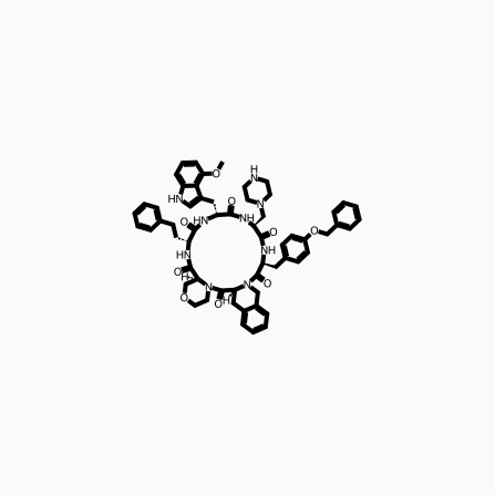 COc1cccc2[nH]cc(C[C@H]3NC(=O)[C@@H](CCc4ccccc4)NC(=O)[C@@H]4COCCN4C(=O)[C@@H]4Cc5ccccc5CN4C(=O)[C@H](Cc4ccc(OCc5ccccc5)cc4)NC(=O)[C@H](CN4CCNCC4)NC3=O)c12